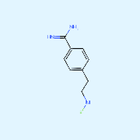 N=C(N)c1ccc(CCNF)cc1